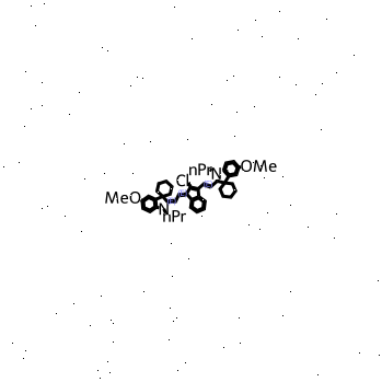 CCCN1/C(=C/C=C2C(Cl)=C(/C=C/C3=[N+](CCC)c4ccc(OC)cc4C34CCCCC4)c3ccccc3/2)C2(CCCCC2)c2cc(OC)ccc21